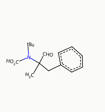 CC(C)(C)N(C(=O)O)C(C)(C=O)Cc1ccccc1